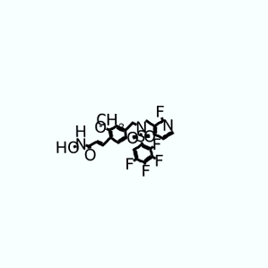 COc1cc(CN(Cc2cccnc2F)S(=O)(=O)c2cc(F)c(F)c(F)c2F)ccc1/C=C/C(=O)NO